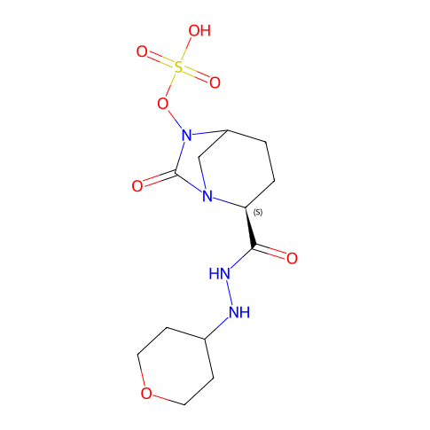 O=C(NNC1CCOCC1)[C@@H]1CCC2CN1C(=O)N2OS(=O)(=O)O